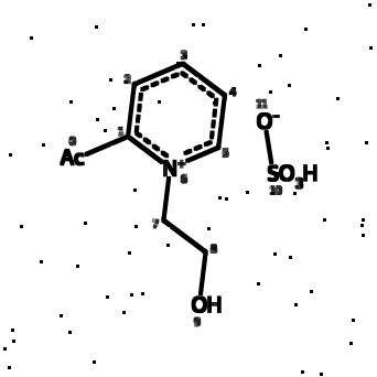 CC(=O)c1cccc[n+]1CCO.O=S(=O)([O-])O